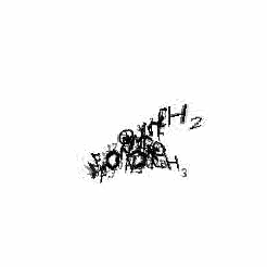 C=C(F)CN1CC(n2c(=O)n(-c3ccc(C(F)(F)F)cc3)c3nccc(P(C)(C)=O)c32)C1